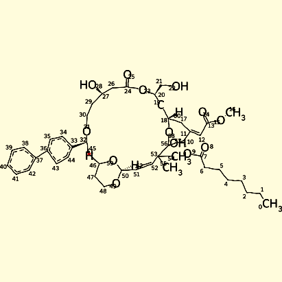 CCCCCCCC(=O)O[C@H]1/C(=C/C(=O)OC)C[C@H]2C[C@H](CO)OC(=O)C[C@H](O)CCO[C@H](c3ccc(-c4ccccc4)cc3)C[C@@H]3CCO[C@H](/C=C/C(C)(C)[C@]1(O)O2)O3